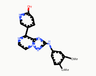 COc1ccc(Nc2nc3c(-c4ccc(O)nc4)nccn3n2)cc1OC